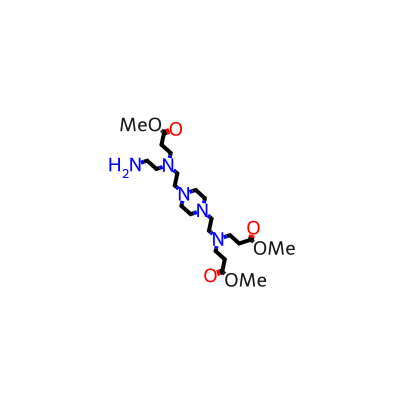 COC(=O)CCN(CCN)CCN1CCN(CCN(CCC(=O)OC)CCC(=O)OC)CC1